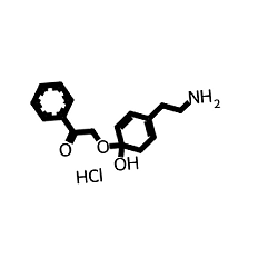 Cl.NCCC1=CCC(O)(OCC(=O)c2ccccc2)C=C1